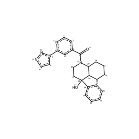 O=C(c1ccnc(-n2cnnn2)c1)N1CCC(O)(c2ccccc2)C2CCCCC21